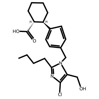 CCCCc1nc(Cl)c(CO)n1Cc1ccc([C@@H]2CCCC[C@H]2C(=O)O)cc1